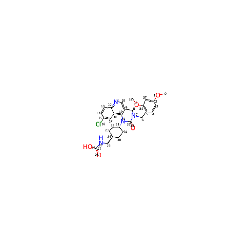 COc1ccc(CN2Cc3cnc4ccc(Cl)cc4c3N([C@H]3CC[C@H](CNC(=O)O)CC3)C2=O)c(OC)c1